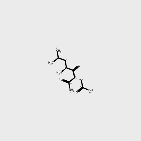 CC(C)C[C@H](N)C(=O)[C@H](CC(=O)O)C(N)=O